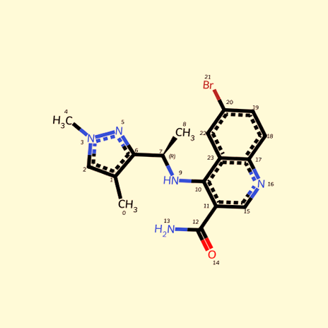 Cc1cn(C)nc1[C@@H](C)Nc1c(C(N)=O)cnc2ccc(Br)cc12